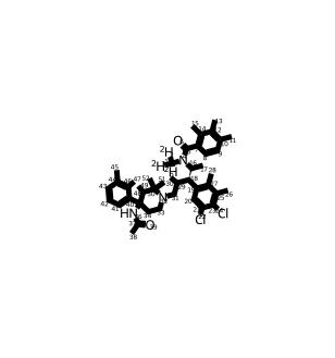 [2H]C([2H])([2H])N(C(=O)c1ccc(C)c(C)c1C)C(C)[C@H](c1cc(Cl)c(Cl)c(C)c1C)C(C)CN1CCC(NC(C)=O)(c2cccc(C)c2C)C(C)C1(C)C